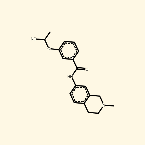 CC(C#N)Oc1cccc(C(=O)Nc2ccc3c(c2)CN(C)CC3)c1